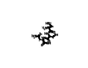 NC(=O)C[C@H](NC(=O)[C@H](CS)NC(=O)[C@@H](N)CS)C(=O)O